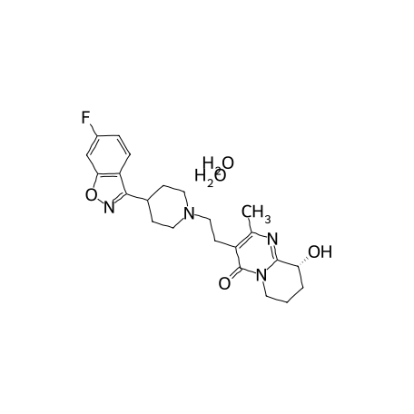 Cc1nc2n(c(=O)c1CCN1CCC(c3noc4cc(F)ccc34)CC1)CCC[C@H]2O.O.O